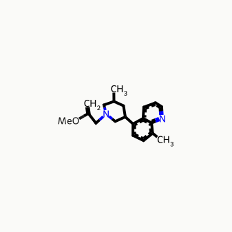 C=C(CN1CC(C)CC(c2ccc(C)c3ncccc23)C1)OC